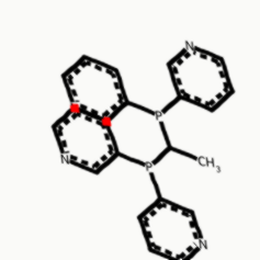 CC(P(c1cccnc1)c1cccnc1)P(c1cccnc1)c1cccnc1